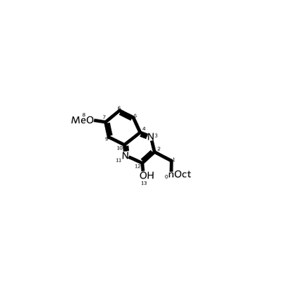 CCCCCCCCCc1nc2ccc(OC)cc2nc1O